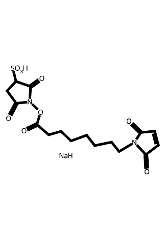 O=C(CCCCCCCN1C(=O)C=CC1=O)ON1C(=O)CC(S(=O)(=O)O)C1=O.[NaH]